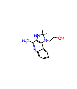 CC1(C)Nc2c(N)nc3ccccc3c2N1CCO